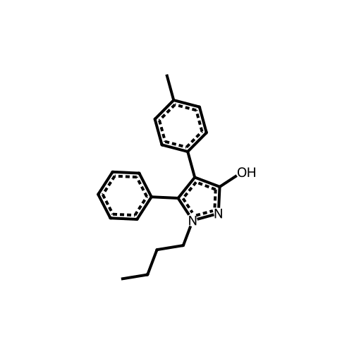 CCCCn1nc(O)c(-c2ccc(C)cc2)c1-c1ccccc1